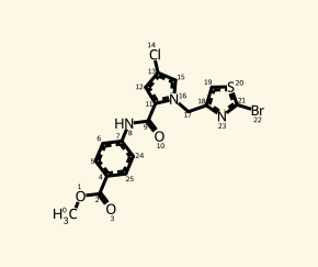 COC(=O)c1ccc(NC(=O)c2cc(Cl)cn2Cc2csc(Br)n2)cc1